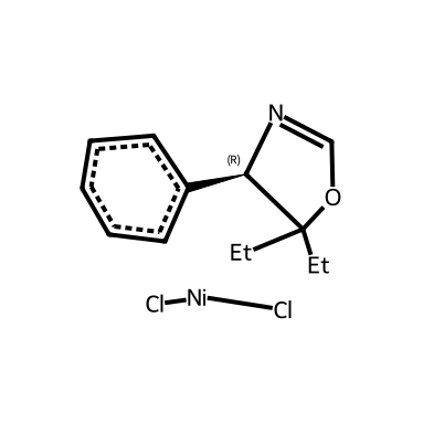 CCC1(CC)OC=N[C@@H]1c1ccccc1.[Cl][Ni][Cl]